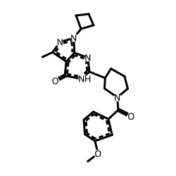 COc1cccc(C(=O)N2CCCC(c3nc4c(c(C)nn4C4CCC4)c(=O)[nH]3)C2)c1